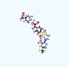 COC(=O)C1C(S(=O)(=O)c2ccc3c(c2)CCC3C(=O)OCc2ccc([N+](=O)[O-])cc2)NCCN1c1ccc(C(F)(F)F)cn1